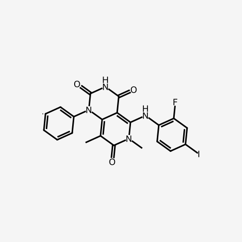 Cc1c(=O)n(C)c(Nc2ccc(I)cc2F)c2c(=O)[nH]c(=O)n(-c3c[c]ccc3)c12